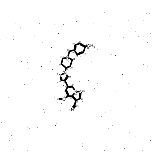 COc1cc(-c2cnn(C3CCN(Cc4ccc(N)cc4)CC3)c2)cn2ncc(C#N)c12